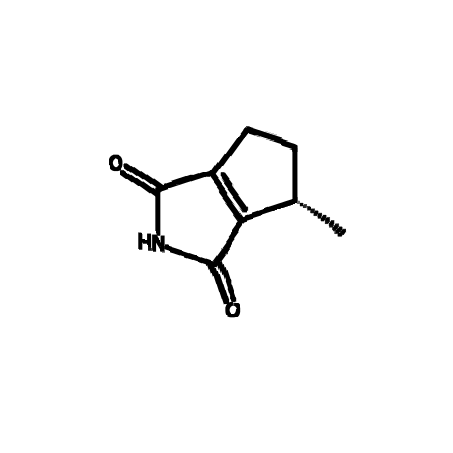 C[C@H]1CCC2=C1C(=O)NC2=O